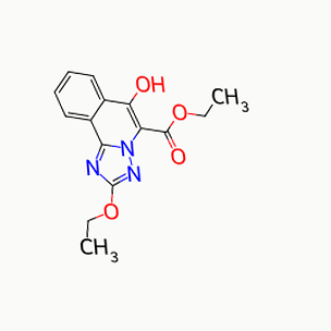 CCOC(=O)c1c(O)c2ccccc2c2nc(OCC)nn12